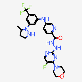 CC1CCNN1c1cc(Nc2ccc(C(=O)NNc3ncc(F)c(N4CCOCC4)n3)nc2)cc(C(F)(F)F)c1